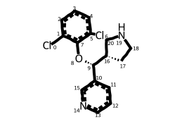 Clc1cccc(Cl)c1O[C@@H](c1cccnc1)[C@H]1CCNC1